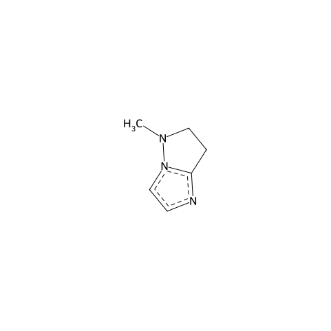 CN1CCc2nccn21